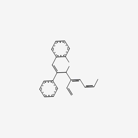 C=C/C(=C\C=C/C)C1Oc2ccccc2C=C1c1ccccc1